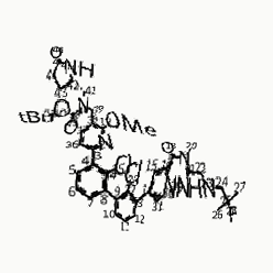 COc1nc(-c2cccc(-c3cccc(-c4cc5c(=O)n(C)c(CNCC(C)(C)F)nn5c4)c3Cl)c2Cl)ccc1CN(C[C@@H]1CCC(=O)N1)C(=O)OC(C)(C)C